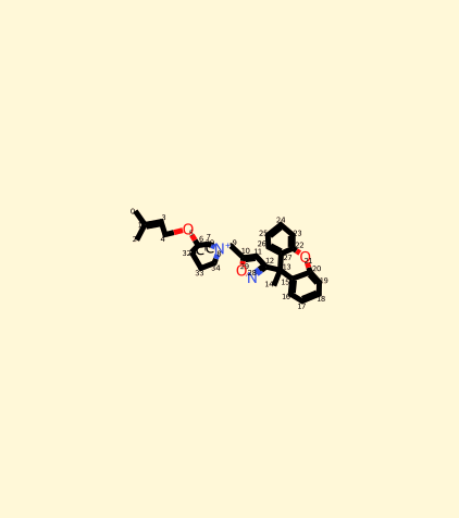 CC(C)=CCOC1C[N+]2(Cc3cc(C4(C)c5ccccc5Oc5ccccc54)no3)CCC1CC2